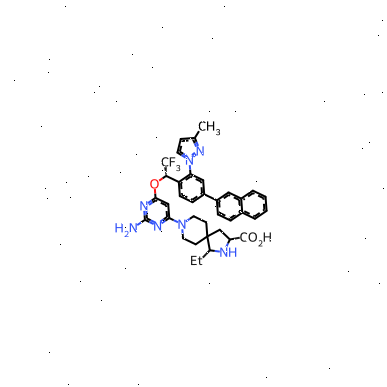 CCC1NC(C(=O)O)CC12CCN(c1cc(O[C@H](c3ccc(-c4ccc5ccccc5c4)cc3-n3ccc(C)n3)C(F)(F)F)nc(N)n1)CC2